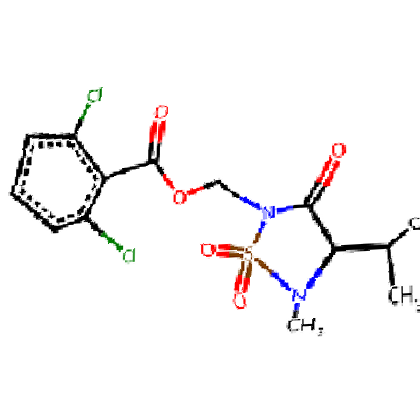 CC(C)C1C(=O)N(COC(=O)c2c(Cl)cccc2Cl)S(=O)(=O)N1C